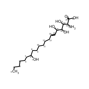 CCCCCCC(O)CCCCCCC=CC(O)C(O)C(O)C(N)C(=O)O